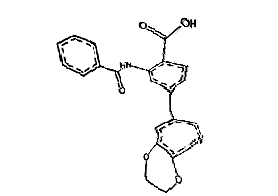 O=C(Nc1cc(-c2cnc3c(c2)OCCO3)ccc1C(=O)O)c1ccccc1